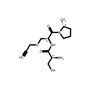 C#CCOC[C@H](NC(=O)[C@@H](N)CO)C(=O)N1CCC[C@H]1C